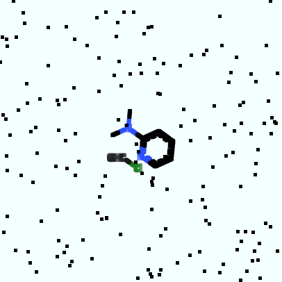 CN(C)c1ccccn1.O=CCl